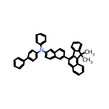 CC1(C)c2ccccc2-c2c(-c3ccc4cc(N(c5ccccc5)c5ccc(-c6ccccc6)cc5)ccc4c3)cc3ccccc3c21